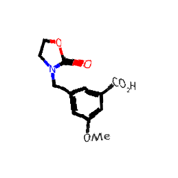 COc1cc(CN2CCOC2=O)cc(C(=O)O)c1